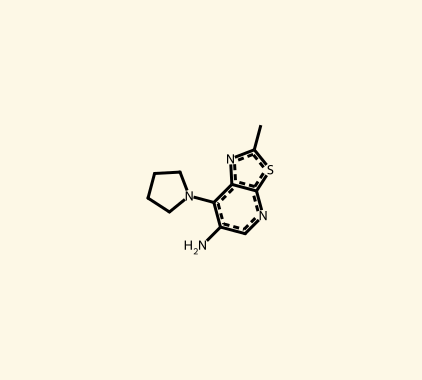 Cc1nc2c(N3CCCC3)c(N)cnc2s1